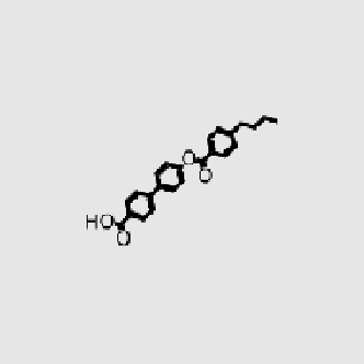 CCCCc1ccc(C(=O)Oc2ccc(-c3ccc(C(=O)O)cc3)cc2)cc1